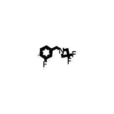 Fc1[c]ccc(CN2CC(F)(F)C2)c1